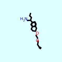 C#CCCOCCOC1CCc2cc(C(CN)CCC)ccc2C1